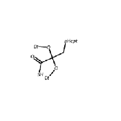 CCCCCCCCC(OCC)(OCC)C(=O)S